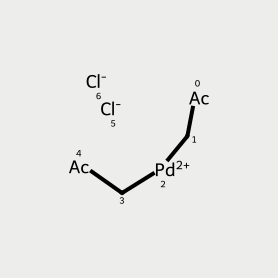 CC(=O)[CH2][Pd+2][CH2]C(C)=O.[Cl-].[Cl-]